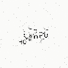 CCC[C@@H](C)[C@@H](C)[C@H](CNC(=O)O[C@@H](OC(=O)C(C)C)C(C)C)CC(=O)O